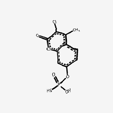 Cc1c(Cl)c(=O)oc2cc(OP(=O)(O)S)ccc12